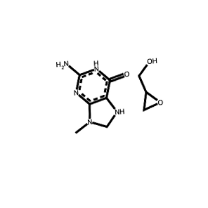 CN1CNc2c1nc(N)[nH]c2=O.OCC1CO1